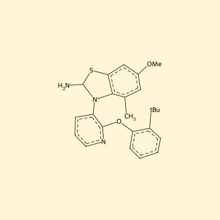 COc1cc(C)c2c(c1)SC(N)N2c1cccnc1Oc1ccccc1C(C)(C)C